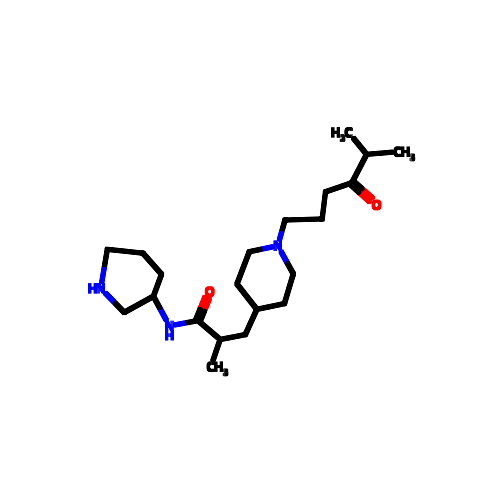 CC(C)C(=O)CCCN1CCC(CC(C)C(=O)NC2CCCNC2)CC1